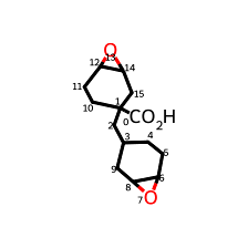 O=C(O)C1(CC2CCC3OC3C2)CCC2OC2C1